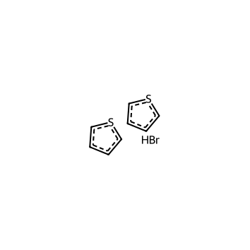 Br.c1ccsc1.c1ccsc1